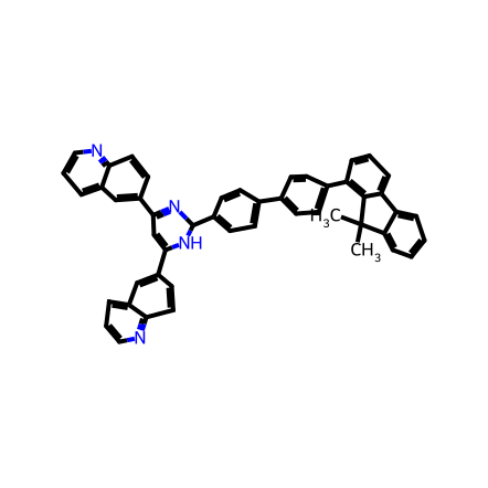 CC1(C)c2ccccc2-c2cccc(-c3ccc(-c4ccc(C5N=C(c6ccc7ncccc7c6)C=C(c6ccc7ncccc7c6)N5)cc4)cc3)c21